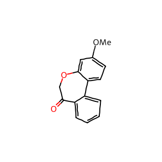 COc1ccc2c(c1)OCC(=O)c1ccccc1-2